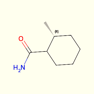 C[C@@H]1CCCCC1C(N)=O